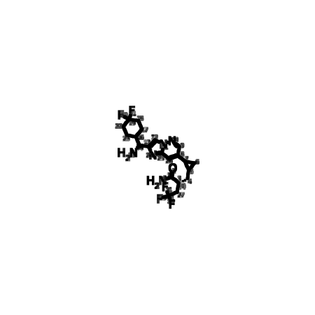 NC(=O)[C@H](CC1CC1c1cnn2cc([C@@H](N)C3CCC(F)(F)CC3)nc2c1)CC(F)(F)F